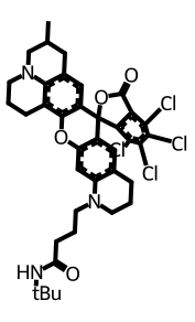 CC1Cc2cc3c(c4c2N(CCC4)C1)Oc1cc2c(cc1C31OC(=O)c3c(Cl)c(Cl)c(Cl)c(Cl)c31)CCCN2CCCC(=O)NC(C)(C)C